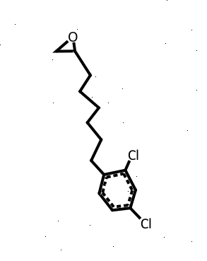 Clc1ccc(CCCCCCC2CO2)c(Cl)c1